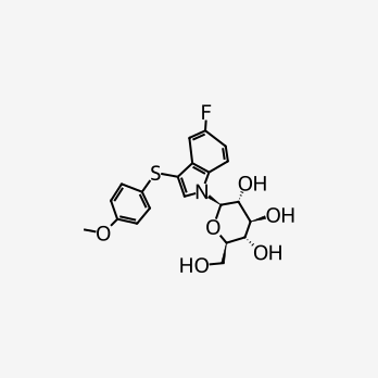 COc1ccc(Sc2cn([C@@H]3O[C@H](CO)[C@@H](O)[C@H](O)[C@H]3O)c3ccc(F)cc23)cc1